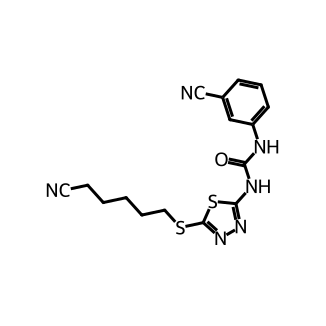 N#CCCCCCSc1nnc(NC(=O)Nc2cccc(C#N)c2)s1